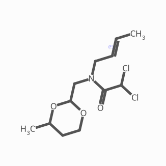 C/C=C/CN(CC1OCCC(C)O1)C(=O)C(Cl)Cl